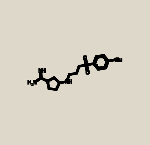 CC(C)(C)c1ccc(S(=O)(=O)CCCNC2CCN(C(=N)N)C2)cc1